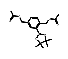 CC(=O)OCc1ccc(COC(C)=O)c(B2OC(C)(C)C(C)(C)O2)c1